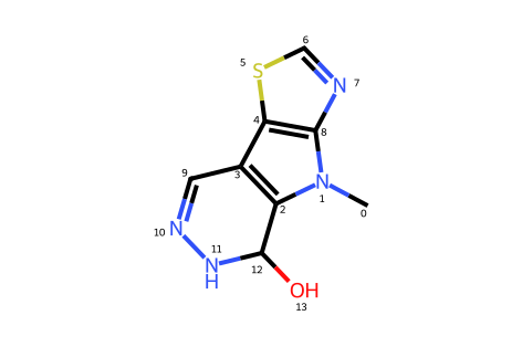 Cn1c2c(c3scnc31)C=NNC2O